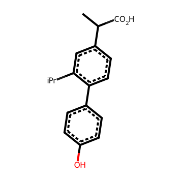 CC(C)c1cc(C(C)C(=O)O)ccc1-c1ccc(O)cc1